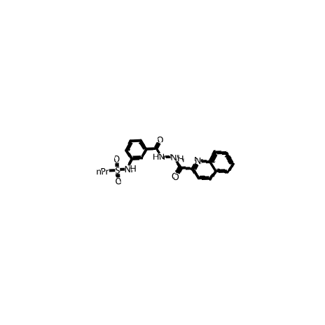 CCCS(=O)(=O)Nc1cccc(C(=O)NNC(=O)c2ccc3ccccc3n2)c1